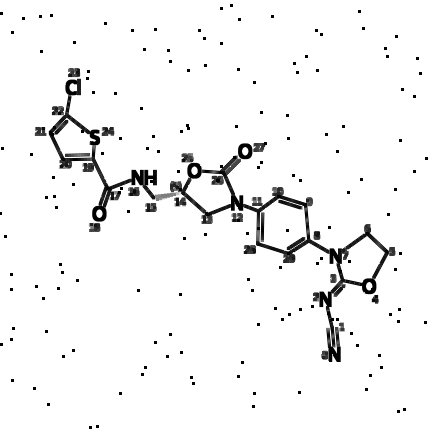 N#CN=C1OCCN1c1ccc(N2C[C@H](CNC(=O)c3ccc(Cl)s3)OC2=O)cc1